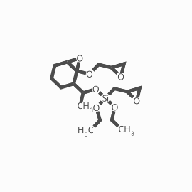 CCO[Si](CC1CO1)(OCC)OC(C)C1CCCC2OC21OCC1CO1